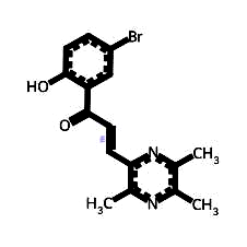 Cc1nc(C)c(/C=C/C(=O)c2cc(Br)ccc2O)nc1C